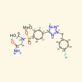 COc1cc(-c2nnn(Cc3ccc(F)cc3)n2)ccc1S(=O)(=O)N(CC(N)=O)C(=O)O